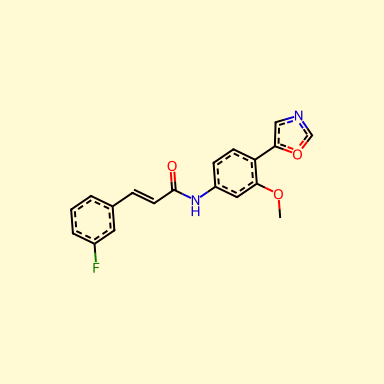 COc1cc(NC(=O)C=Cc2cccc(F)c2)ccc1-c1cnco1